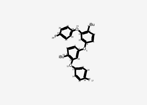 CCC(C)c1ccc(Oc2ccc(C(C)CC)c(Oc3ccc(F)cc3)c2)cc1Oc1ccc(F)cc1